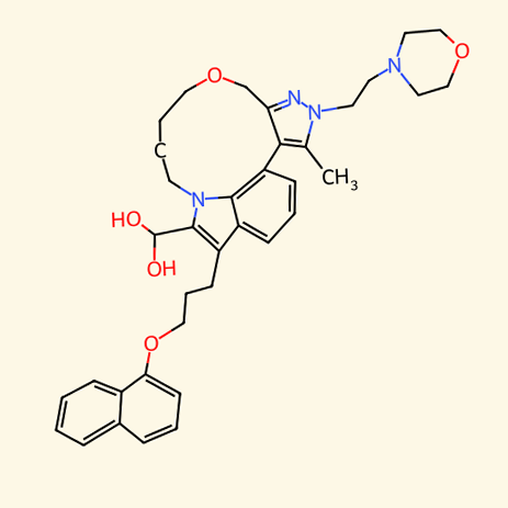 Cc1c2c(nn1CCN1CCOCC1)COCCCCn1c(C(O)O)c(CCCOc3cccc4ccccc34)c3cccc-2c31